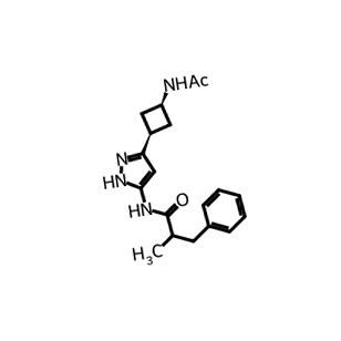 CC(=O)N[C@H]1C[C@@H](c2cc(NC(=O)C(C)Cc3ccccc3)[nH]n2)C1